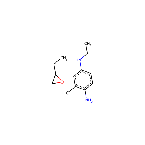 CCC1CO1.CCNc1ccc(N)c(C)c1